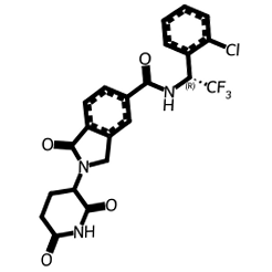 O=C1CCC(N2Cc3cc(C(=O)N[C@H](c4ccccc4Cl)C(F)(F)F)ccc3C2=O)C(=O)N1